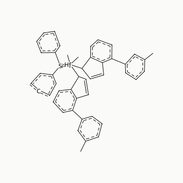 Cc1cccc(-c2cccc3c2C=C[CH]3[Hf]([CH3])([CH3])([CH]2C=Cc3c(-c4cccc(C)c4)cccc32)=[Si](c2ccccc2)c2ccccc2)c1